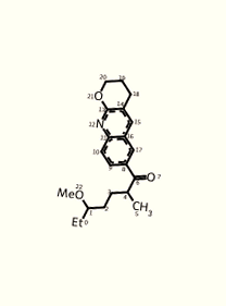 CCC(CCC(C)C(=O)c1ccc2nc3c(cc2c1)CCCO3)OC